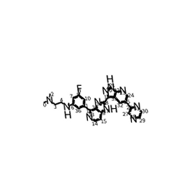 CN(C)CCNc1cc(F)cc(-c2nccc3[nH]c(-c4n[nH]c5ncc(-c6cnccn6)cc45)nc23)c1